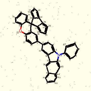 c1ccc(-n2c3ccc(-c4ccc5c(c4)C4(c6ccccc6O5)c5ccccc5-c5ccccc54)cc3c3cc4ccccc4cc32)cc1